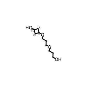 OCCCOCCCOC1CC(O)C1